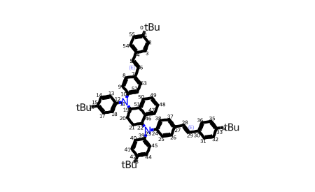 CC(C)(C)c1ccc(/C=C/c2ccc(N(c3ccc(C(C)(C)C)cc3)C3CCC(N(c4ccc(/C=C/c5ccc(C(C)(C)C)cc5)cc4)c4ccc(C(C)(C)C)cc4)c4ccccc43)cc2)cc1